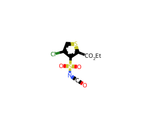 CCOC(=O)c1scc(Cl)c1S(=O)(=O)N=C=O